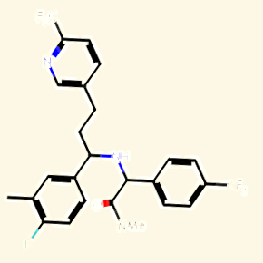 CNC(=O)C(NC(CCc1ccc(C(F)(F)F)nc1)c1ccc(F)c(C)c1)c1ccc(C(F)(F)F)cc1